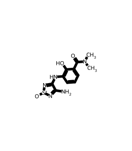 CN(C)C(=O)c1cccc(Nc2n[s+]([O-])nc2N)c1O